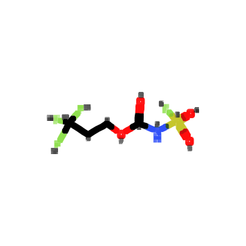 O=C(NS(=O)(=O)F)OCCC(F)(F)F